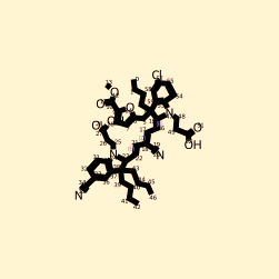 CCCCC1(Cc2ccc(C(=O)OC)o2)\C(=C/C=C(C#N)/C=C/C2N(CCC(=O)O)c3ccc(C#N)cc3C2(CCCC)CCCC)N(CCC(=O)O)c2ccc(Cl)cc21